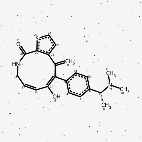 C=C1/C(c2ccc([C@@H](C)N(C)C)cc2)=C(O)\C=C/CNC(=O)c2sccc21